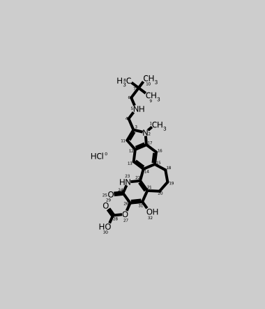 Cl.Cn1c(CNCC(C)(C)C)cc2cc3c(cc21)CCCc1c-3[nH]c(=O)c(OC(=O)O)c1O